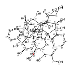 O=C(CO)C(O)[C@H]1OC([C@]2(O)C(OC3(C(=O)CO)O[C@H](CO)[C@@H](O)[C@@](O)(c4ccccc4)[C@]3(O)C3O[C@H](C(O)C(=O)CO)[C@@H](O)[C@H](O)[C@H]3O)(C(=O)CO)O[C@H](CO)[C@@H](O)[C@@]2(O)c2ccccc2)[C@H](O)[C@@H](O)[C@@H]1O